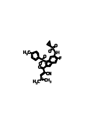 Cc1ccc(S(=O)(=O)n2c(C(=O)C(C#N)=CN(C)C)cc3cc(F)c(NS(=O)(=O)C4CC4)cc32)cc1